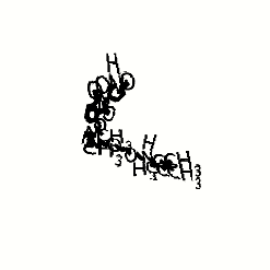 CC(/N=N\N(C)CCOCCOCCNC(=O)OC(C)(C)C)Oc1cccc2c1C(=O)N(C1CCC(=O)NC1=O)C2=O